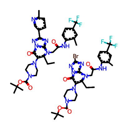 CCc1c(N2CCN(C(=O)OC(C)(C)C)CC2)c(=O)n2nc(-c3ccc(C)nc3)nc2n1CC(=O)Nc1ccc(C(F)(F)F)cc1C.CCc1c(N2CCN(C(=O)OC(C)(C)C)CC2)c(=O)n2nc(Br)nc2n1CC(=O)Nc1ccc(C(F)(F)F)cc1C